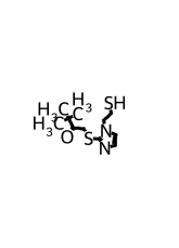 CC(C)(C)C(=O)CSc1nccn1CCS